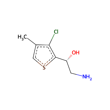 Cc1csc([C@H](O)CN)c1Cl